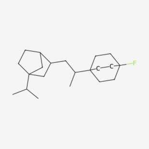 CC(C)C12CCC(C1)C(CC(C)C13CCC(F)(CC1)CC3)C2